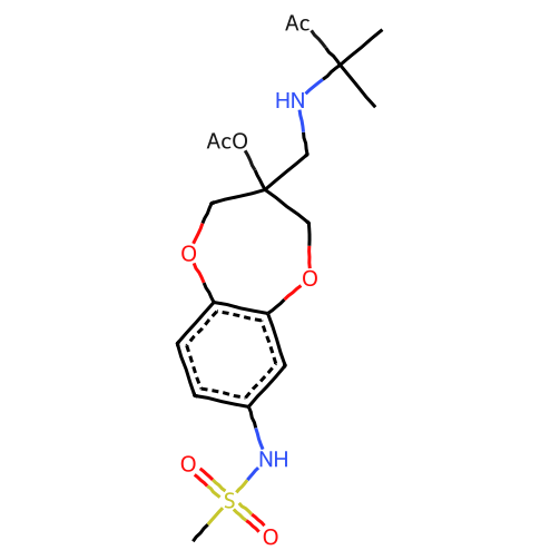 CC(=O)OC1(CNC(C)(C)C(C)=O)COc2ccc(NS(C)(=O)=O)cc2OC1